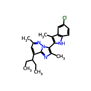 CCC(CC)c1cc(C)nn2c(-c3[nH]c4ccc(Cl)cc4c3C)c(C)nc12